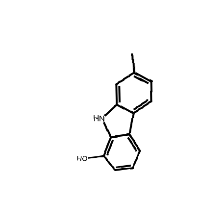 Cc1ccc2c(c1)[nH]c1c(O)cccc12